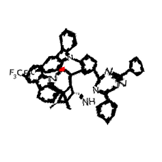 C[C@H]1C2(C)/C(=C(\Cn3c4ccccc4c4cc(C(F)(F)F)ccc43)c3cc(-c4nc(-c5ccccc5)nc(-c5ccccc5)n4)ccc3-n3c4ccccc4c4cc(C(F)(F)F)ccc43)[C@H](C=N)C12C